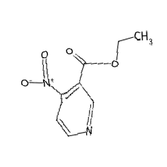 CCOC(=O)c1cnccc1[N+](=O)[O-]